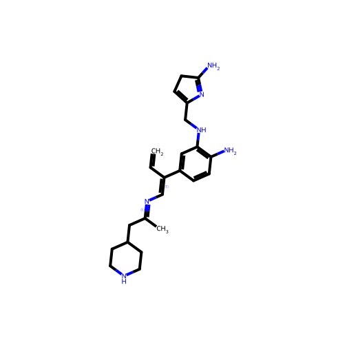 C=C/C(=C\N=C(/C)CC1CCNCC1)c1ccc(N)c(NCC2=CCC(N)=N2)c1